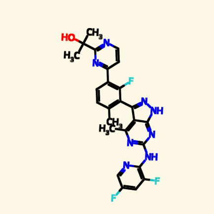 Cc1ccc(-c2ccnc(C(C)(C)O)n2)c(F)c1-c1n[nH]c2nc(Nc3ncc(F)cc3F)nc(C)c12